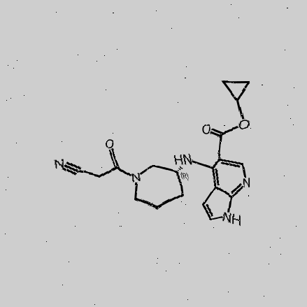 N#CCC(=O)N1CCC[C@@H](Nc2c(C(=O)OC3CC3)cnc3[nH]ccc23)C1